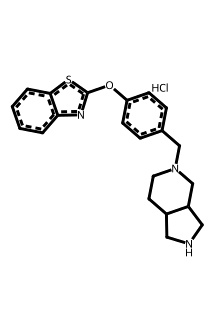 Cl.c1ccc2sc(Oc3ccc(CN4CCC5CNCC5C4)cc3)nc2c1